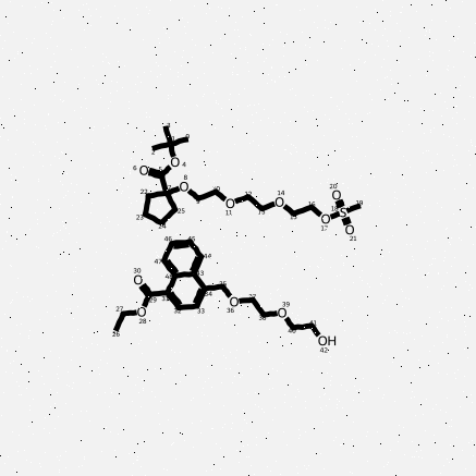 CC(C)(C)OC(=O)C1(OCCOCCOCCOS(C)(=O)=O)CCCC1.CCOC(=O)c1ccc(COCCOCCO)c2ccccc12